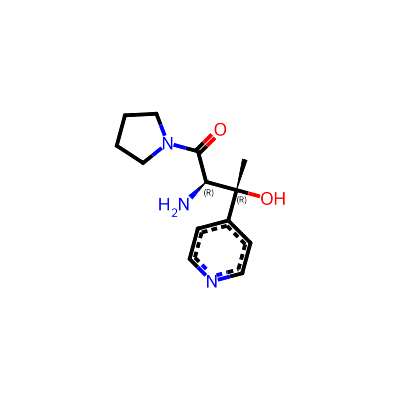 C[C@@](O)(c1ccncc1)[C@@H](N)C(=O)N1CCCC1